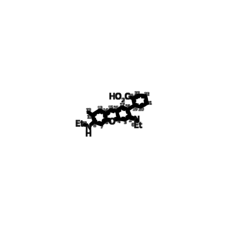 CCN=c1cc2oc3cc(NCC)c(C)cc3cc-2cc1-c1ccccc1C(=O)O